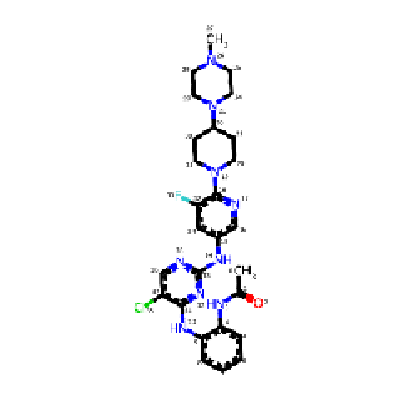 CC(=O)Nc1ccccc1Nc1nc(Nc2cnc(N3CCC(N4CCN(C)CC4)CC3)c(F)c2)ncc1Cl